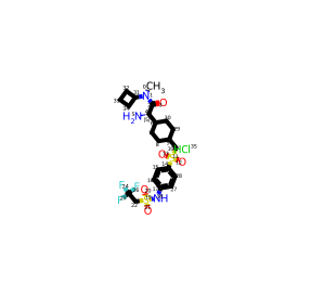 CN(C(=O)[C@@H](N)C1CCC(CS(=O)(=O)c2ccc(NS(=O)(=O)CC(F)(F)F)cc2)CC1)C1CCC1.Cl